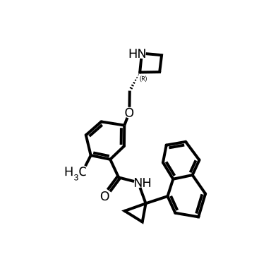 Cc1ccc(OC[C@H]2CCN2)cc1C(=O)NC1(c2cccc3ccccc23)CC1